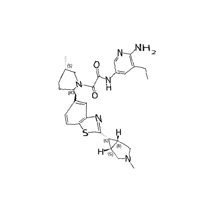 CCc1cc(NC(=O)C(=O)N2C[C@@H](C)CC[C@@H]2c2ccc3sc([C@@H]4[C@@H]5CN(C)C[C@@H]54)nc3c2)cnc1N